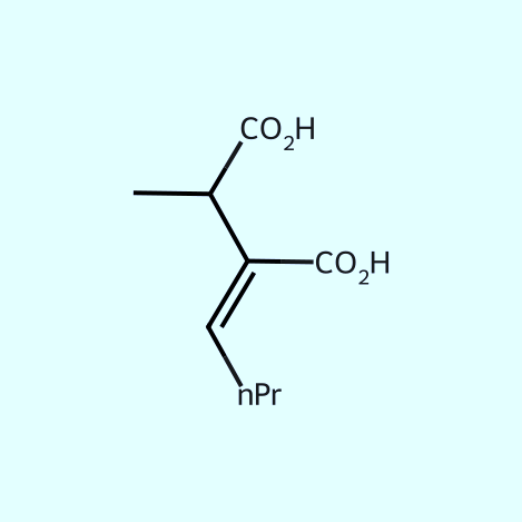 CCC/C=C(\C(=O)O)C(C)C(=O)O